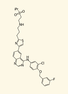 CC(C)S(=O)(=O)CCNCCCc1nc(-c2ccc3ncnc(Nc4ccc(OCc5cccc(F)c5)c(Cl)c4)c3c2)cs1